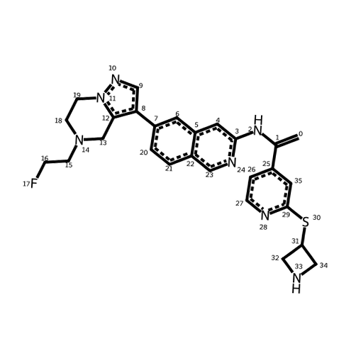 C=C(Nc1cc2cc(-c3cnn4c3CN(CCF)CC4)ccc2cn1)c1ccnc(SC2CNC2)c1